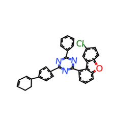 Clc1ccc2oc3cccc(-c4nc(-c5ccccc5)nc(-c5ccc(C6=CC=CCC6)cc5)n4)c3c2c1